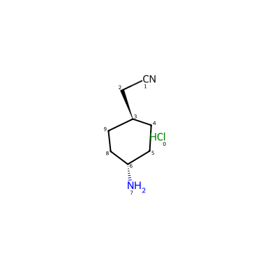 Cl.N#CC[C@H]1CC[C@H](N)CC1